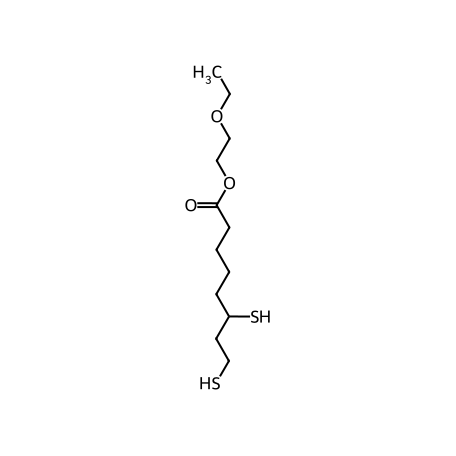 CCOCCOC(=O)CCCCC(S)CCS